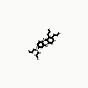 CCCC1=C(CCC)C2=Nc3ccc(N(CCC)CCC)cc3SC2=C[C]1